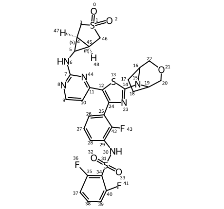 O=S1(=O)C[C@@H]2C(Nc3nccc(-c4sc(N5C6CCC5COC6)nc4-c4cccc(NS(=O)(=O)c5c(F)cccc5F)c4F)n3)[C@@H]2C1